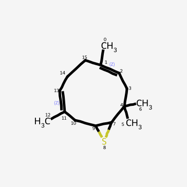 C/C1=C/CC(C)(C)C2SC2C/C(C)=C\CC1